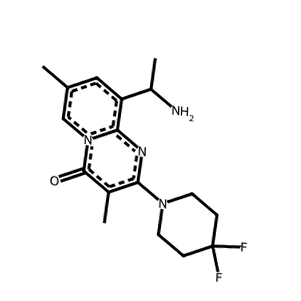 Cc1cc(C(C)N)c2nc(N3CCC(F)(F)CC3)c(C)c(=O)n2c1